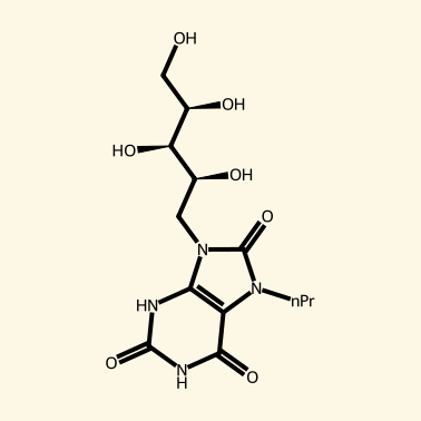 [CH2]CCn1c(=O)n(C[C@H](O)[C@@H](O)[C@H](O)CO)c2[nH]c(=O)[nH]c(=O)c21